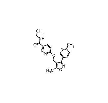 CCNC(=O)c1ccc(OCc2c(-c3ccc(C)nc3)noc2C)nn1